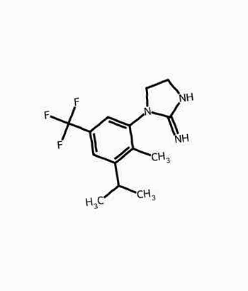 Cc1c(C(C)C)cc(C(F)(F)F)cc1N1CCNC1=N